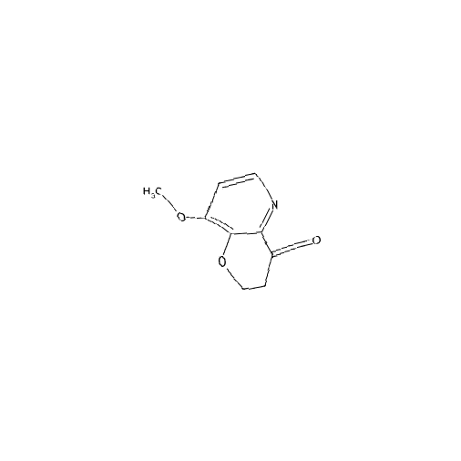 COc1ccnc2c1OCCC2=O